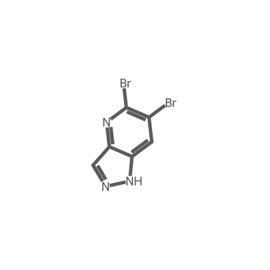 Brc1cc2[nH]ncc2nc1Br